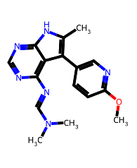 COc1ccc(-c2c(C)[nH]c3ncnc(N=CN(C)C)c23)cn1